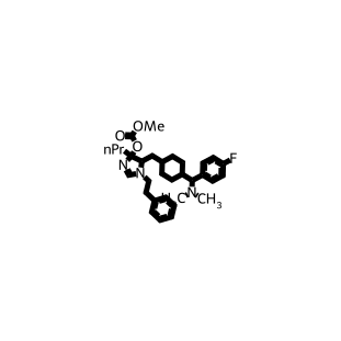 CCCC1(OC(=O)OC)N=CN(CCc2ccccc2)C1CC1CCC(C(c2ccc(F)cc2)N(C)C)CC1